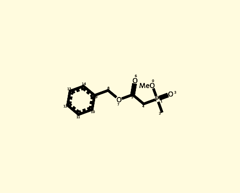 COP(C)(=O)CC(=O)OCc1ccccc1